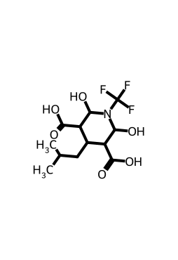 CC(C)CC1C(C(=O)O)C(O)N(C(F)(F)F)C(O)C1C(=O)O